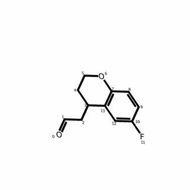 O=CCC1CCOc2ccc(F)cc21